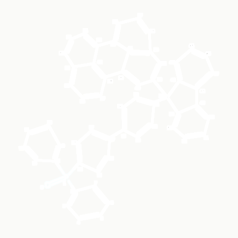 O=P(c1ccccc1)(c1ccccc1)c1ccc(-c2ccc(C3(c4cc5cccc6c7cccc8cccc(c(c4)c56)c87)c4ccccc4-c4ccccc43)cc2)cc1